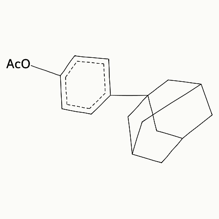 CC(=O)Oc1ccc(C23CC4CC(CC(C4)C2)C3)cc1